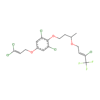 CC(CCOc1c(Cl)cc(OCC=C(Cl)Cl)cc1Cl)OC/C=C(\Cl)C(F)(F)F